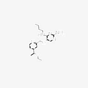 C=C(OCC)c1ccnc(COc2cnc(N)nc2NCCCC)c1